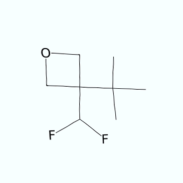 CC(C)(C)C1(C(F)F)COC1